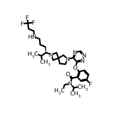 CCN(C(=O)c1cc(F)ccc1Oc1nncnc1N1CCC2(C1)CN([C@H](CCCNCCC(F)(F)F)C(C)C)C2)C(C)C